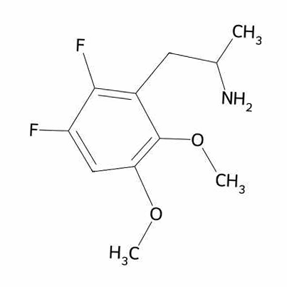 COc1cc(F)c(F)c(CC(C)N)c1OC